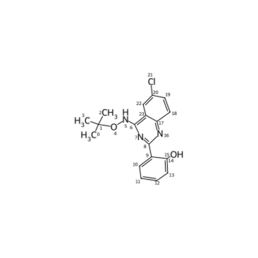 CC(C)(C)ONc1nc(-c2ccccc2O)nc2ccc(Cl)cc12